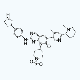 Cc1cc(C2CCCCN2C)ncc1-c1cc2cnc(Nc3ccc(C4CCNC4)cc3)nc2n(C2CCN(S(C)(=O)=O)CC2)c1=O